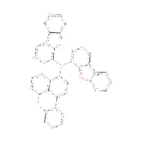 c1ccc2c(c1)Oc1cccc3c(N(c4cccc5c4oc4ccccc45)c4cccc5c4oc4ccccc45)ccc-2c13